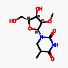 CO[C@@H]1[C@H](O)[C@@H](CO)O[C@H]1N1CC(C)C(=O)NC1=O